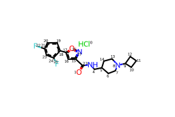 Cl.O=C(NCC1CCN(C2CCC2)CC1)c1cc(-c2ccc(F)cc2F)on1